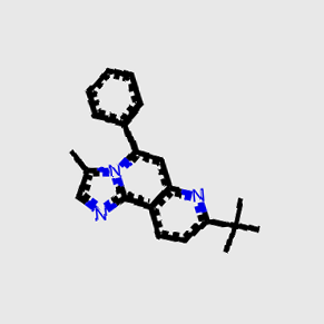 Cc1cnc2c3ccc(C(C)(C)C)nc3cc(-c3ccccc3)n12